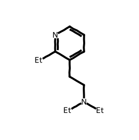 CCc1ncccc1CCN(CC)CC